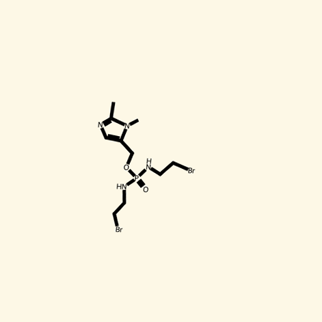 Cc1ncc(COP(=O)(NCCBr)NCCBr)n1C